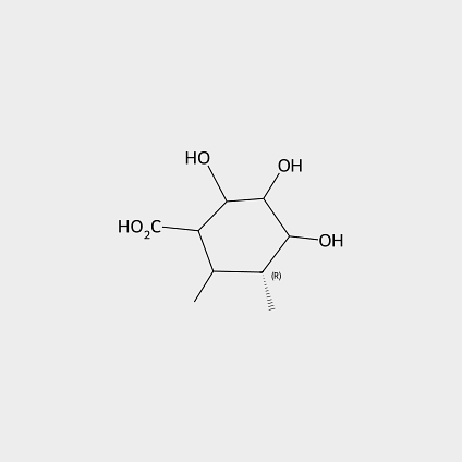 CC1C(C(=O)O)C(O)C(O)C(O)[C@@H]1C